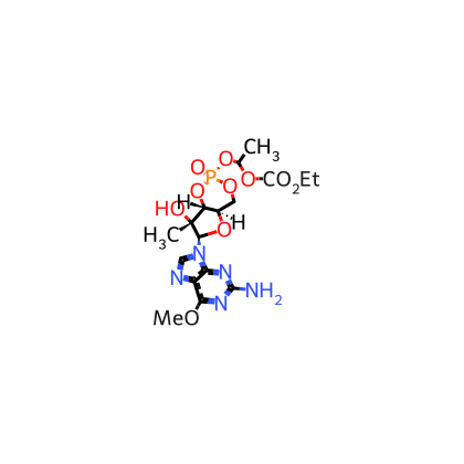 CCOC(=O)OC(C)O[P@]1(=O)OC[C@H]2O[C@@H](n3cnc4c(OC)nc(N)nc43)[C@](C)(O)[C@@H]2O1